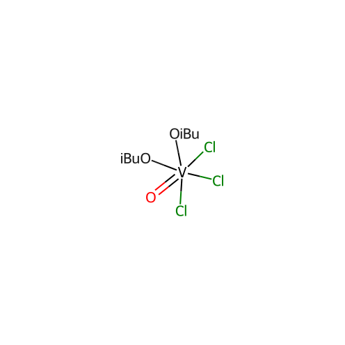 CC(C)C[O][V](=[O])([Cl])([Cl])([Cl])[O]CC(C)C